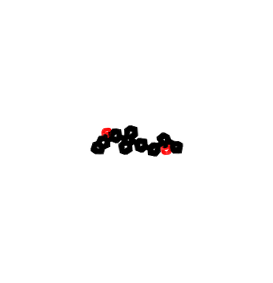 c1cc(-c2ccc(-c3c4ccccc4c(-c4ccc5oc6cc7ccccc7cc6c5c4)c4ccccc34)cc2)cc(-c2cccc3c2oc2ccccc23)c1